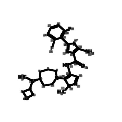 CN(C1COC1)[C@H]1CCCN(c2c(NC(=O)c3nc(-c4c(F)cccc4F)sc3N)cnn2C)CC1